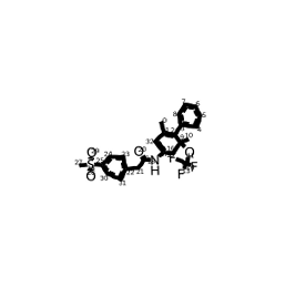 CC1=C(c2ccccc2)C(C)(OC(F)(F)F)CC(NC(=O)Cc2ccc(S(C)(=O)=O)cc2)=C1